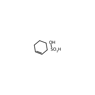 C1=CCCCC1.O=S(=O)(O)O